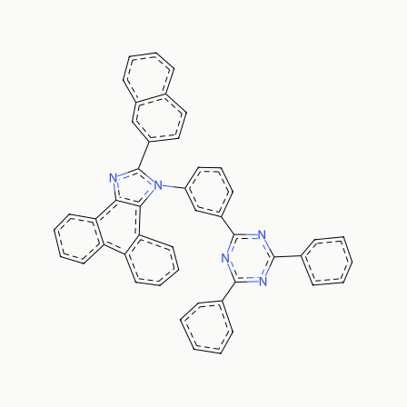 c1ccc(-c2nc(-c3ccccc3)nc(-c3cccc(-n4c(-c5ccc6ccccc6c5)nc5c6ccccc6c6ccccc6c54)c3)n2)cc1